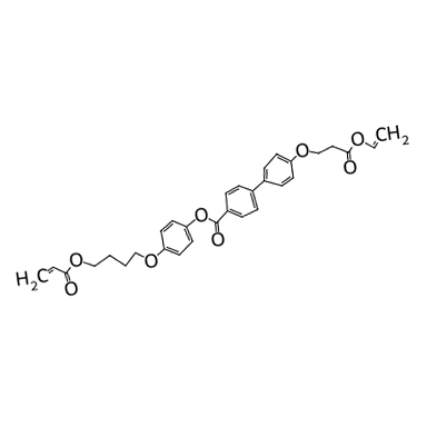 C=COC(=O)CCOc1ccc(-c2ccc(C(=O)Oc3ccc(OCCCCOC(=O)C=C)cc3)cc2)cc1